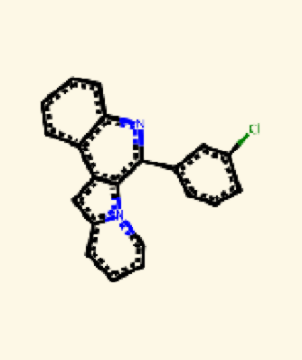 Clc1cccc(-c2nc3ccccc3c3cc4ccccn4c23)c1